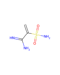 C=C(C(=N)N)S(N)(=O)=O